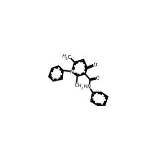 Cc1cc(=O)c(C(=O)Nc2ccccc2)c(C)n1-c1ccccc1